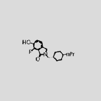 CCC[C@H]1CC[C@H](CN2Cc3ccc(O)c(F)c3C2=O)CC1